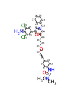 CN(C)CC(=O)Nc1ccc(C#CCOCCCCCCN(Cc2ccccc2)CC(O)c2cc(Cl)c(N)c(Cl)c2)cc1